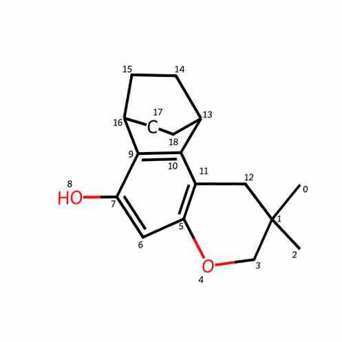 CC1(C)COc2cc(O)c3c(c2C1)C1CCC3CC1